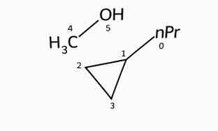 CCCC1CC1.CO